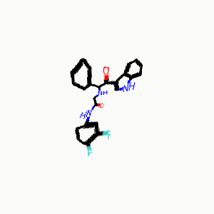 O=C(CNC(C(=O)c1c[nH]c2ccccc12)c1ccccc1)Nc1ccc(F)c(F)c1